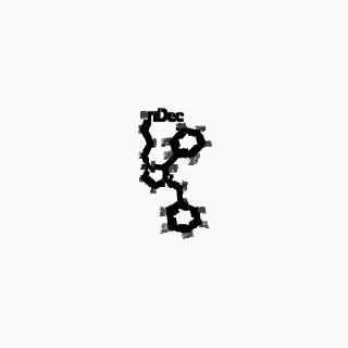 CCCCCCCCCCCCCN1C=CN(Cc2ccccc2)C1c1ccccc1